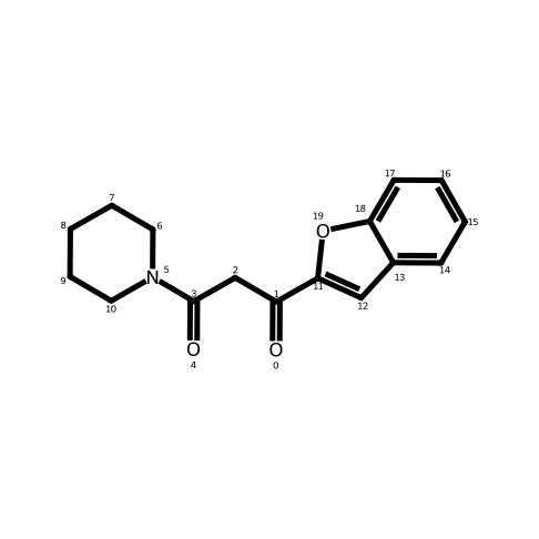 O=C(CC(=O)N1CCCCC1)c1cc2ccccc2o1